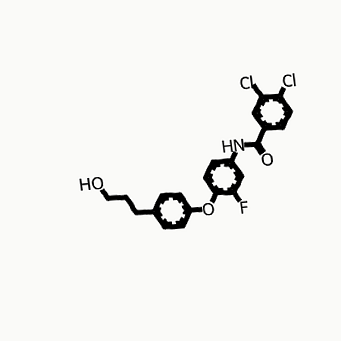 O=C(Nc1ccc(Oc2ccc(CCCO)cc2)c(F)c1)c1ccc(Cl)c(Cl)c1